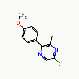 Cc1nc(Cl)cnc1-c1ccc(OC(F)(F)F)cc1